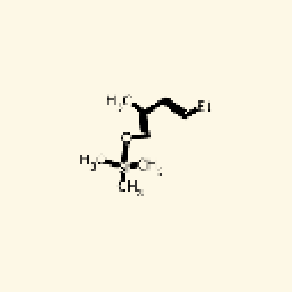 CCC=CC(C)=CO[Si](C)(C)C